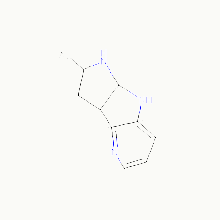 CC(=O)C1CC2c3ncccc3NC2N1